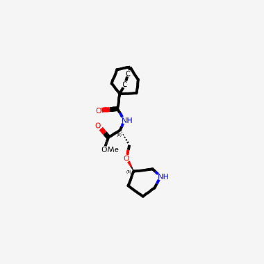 COC(=O)[C@@H](CO[C@@H]1CCCNC1)NC(=O)C12CCC(CC1)CC2